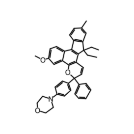 CCC1(CC)c2cc(C)ccc2-c2c1c1c(c3cc(OC)ccc23)OC(c2ccccc2)(c2ccc(N3CCOCC3)cc2)C=C1